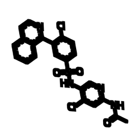 CC(=O)Nc1cc(Cl)c(NS(=O)(=O)c2ccc(Cl)c(-c3nccc4ccccc34)c2)cn1